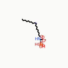 CCCCCCCC/C=C\CCCCCCCC(=O)N[C@@H](COP(=O)(O)O)C(=O)OC